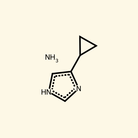 N.c1nc(C2CC2)c[nH]1